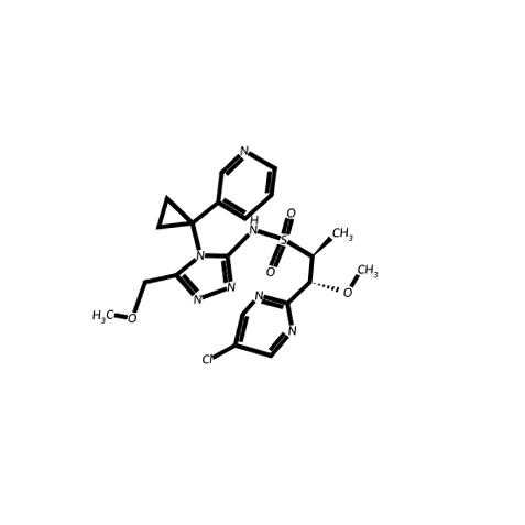 COCc1nnc(NS(=O)(=O)[C@@H](C)[C@H](OC)c2ncc(Cl)cn2)n1C1(c2cccnc2)CC1